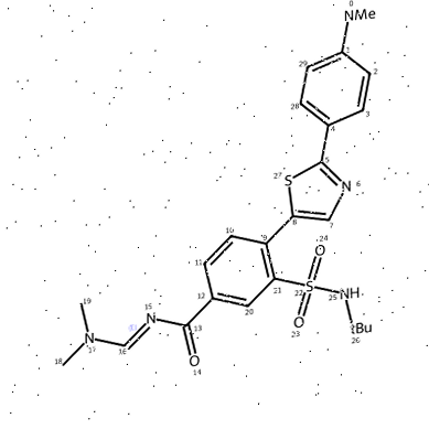 CNc1ccc(-c2ncc(-c3ccc(C(=O)/N=C/N(C)C)cc3S(=O)(=O)NC(C)(C)C)s2)cc1